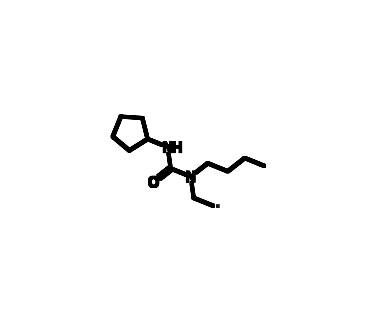 [CH2]CN(CCCC)C(=O)NC1CCCC1